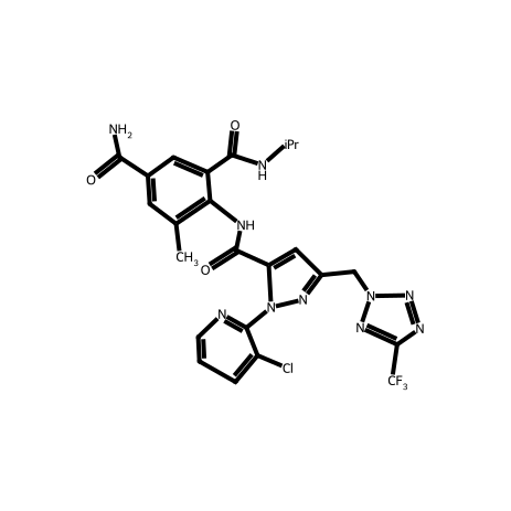 Cc1cc(C(N)=O)cc(C(=O)NC(C)C)c1NC(=O)c1cc(Cn2nnc(C(F)(F)F)n2)nn1-c1ncccc1Cl